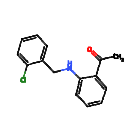 CC(=O)c1ccccc1NCc1ccccc1Cl